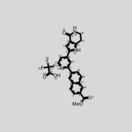 COC(=O)c1ccc2cc(-c3cc(-c4cc5c([nH]4)CCNC5=O)ccn3)ccc2c1.O=C(O)C(F)(F)F